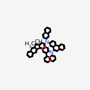 CC1(C)c2cc(N(c3ccc4ccccc4c3)c3ccc4c(c3)c(N(c3ccccc3)c3ccccc3-c3ccccc3)cc3ccccc34)ccc2-c2cc3ccccc3cc21